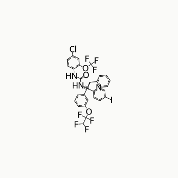 O=C(Nc1ccc(Cl)cc1OC(F)(F)F)N[C@@](Cc1ccccc1)(c1cccc(OC(F)(F)C(F)F)c1)c1ccc(I)cn1